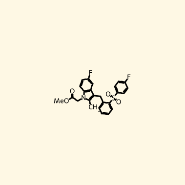 COC(=O)Cn1c(C)c(Cc2ccccc2S(=O)(=O)c2ccc(F)cc2)c2cc(F)ccc21